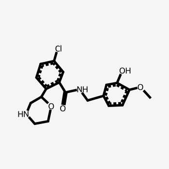 COc1ccc(CNC(=O)c2cc(Cl)ccc2C2CNCCO2)cc1O